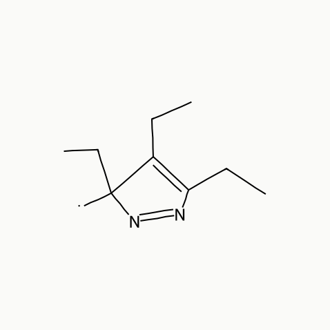 [CH2]C1(CC)N=NC(CC)=C1CC